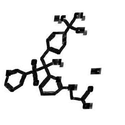 CC(C)(C)c1ccc(CC(N)(c2cccc(NCC(=O)O)n2)S(=O)(=O)c2cccnc2)cc1.Cl